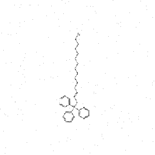 BrCCCCCCCCCCCC=CC[P+](c1ccccc1)(c1ccccc1)c1ccccc1.[I-]